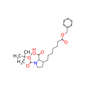 CC(C)(C)OC(=O)N1CCC(CCCCCCC(=O)OCc2ccccc2)C1C(=O)O